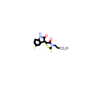 O=C(O)CCN1C(=O)C(=C2C(=O)Nc3ccc(F)cc32)SC1=S